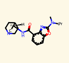 CC(C)N(C)c1nc2c(C(=O)N[C@@H]3CN4CCC3CC4)cccc2o1